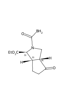 BC(=O)N1C[C@@H]2C(=O)CC[C@@H]2[C@H]1C(=O)OCC